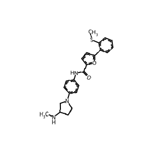 CNC1CCN(c2ccc(NC(=O)c3ccc(-c4ccccc4SC)o3)cc2)C1